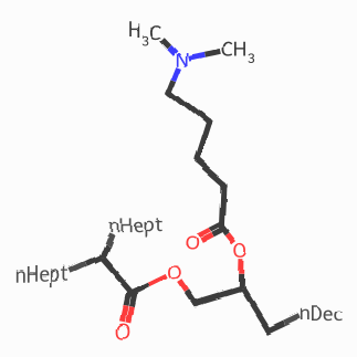 CCCCCCCCCCCC(COC(=O)C(CCCCCCC)CCCCCCC)OC(=O)CCCCN(C)C